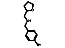 CC(C)c1ccc(CNCC2CCCO2)cc1